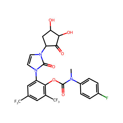 CN(C(=O)Oc1c(-n2ccn(C3CC(O)C(O)C3=O)c2=O)cc(C(F)(F)F)cc1C(F)(F)F)c1ccc(F)cc1